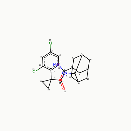 NC(=O)C12CC3CC(C1)C(NC(=O)C1(c4ccc(Cl)cc4Cl)CC1)C(C3)C2